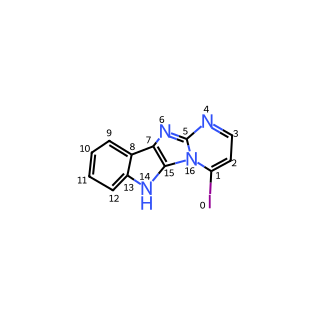 Ic1ccnc2nc3c4ccccc4[nH]c3n12